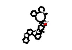 C=C1CC23Cc4cc(C(C)(C)C)cc([n+]42)-c2cc4c5cccc6c7c8c(ccc7n(c4cc2C3(C)CCc2ccccc2-c2cccc[n+]21)c56)sc1ccccc18